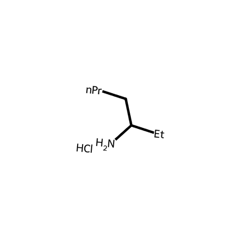 CCCCC(N)CC.Cl